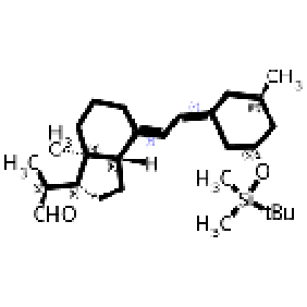 C[C@@H]1C/C(=C/C=C2\CCC[C@]3(C)[C@@H]([C@H](C)C=O)CC[C@@H]23)C[C@@H](O[Si](C)(C)C(C)(C)C)C1